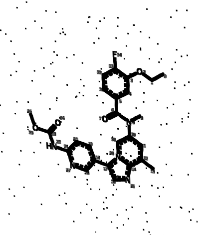 CCOc1cc(C(=O)N(C)c2cc(C)c3ncc(-c4ccc(NC(=O)OC)nc4)n3c2)ccc1F